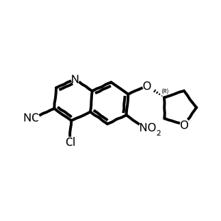 N#Cc1cnc2cc(O[C@@H]3CCOC3)c([N+](=O)[O-])cc2c1Cl